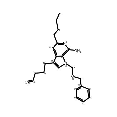 CCCCc1nc(N)c2c(n1)c(CCCC=O)cn2COCc1ccccc1